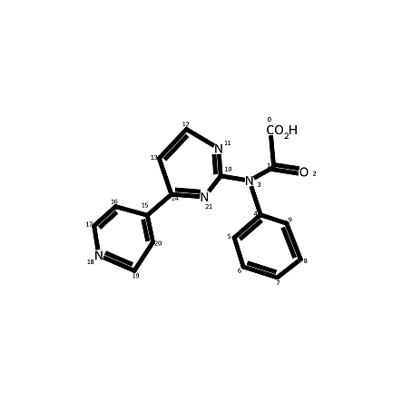 O=C(O)C(=O)N(c1ccccc1)c1nccc(-c2ccncc2)n1